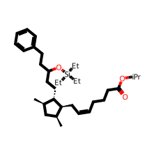 CC[Si](CC)(CC)OC(CCc1ccccc1)CC[C@@H]1[C@@H](C/C=C\CCCC(=O)OC(C)C)[C@@H](C)C[C@H]1C